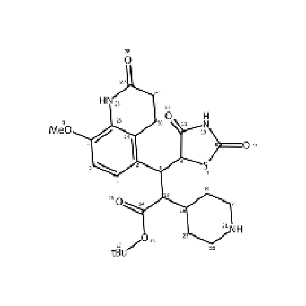 COc1ccc(C(C2SC(=O)NC2=O)C(C(=O)OC(C)(C)C)C2CCNCC2)c2c1NC(=O)CC2